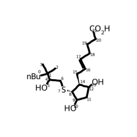 CCCCC(C)(C)C(O)CS[C@H]1C(O)CC(O)[C@@H]1CC=CCCCC(=O)O